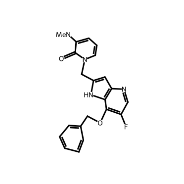 CNc1cccn(Cc2cc3ncc(F)c(OCc4ccccc4)c3[nH]2)c1=O